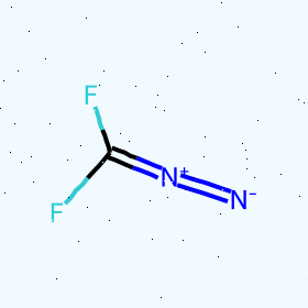 [N-]=[N+]=C(F)F